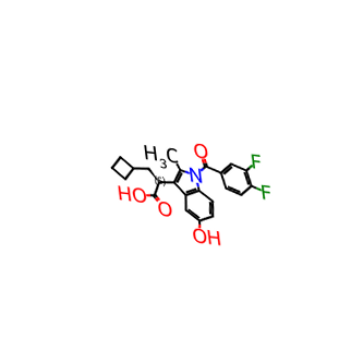 Cc1c([C@H](CC2CCC2)C(=O)O)c2cc(O)ccc2n1C(=O)c1ccc(F)c(F)c1